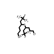 FC(F)(F)C(F)(CC(CCCCl)SC(CCCCl)CC(F)(C(F)(F)F)C(F)(F)F)C(F)(F)F